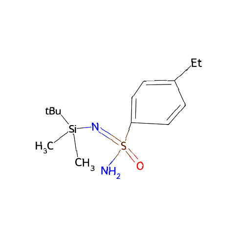 CCc1ccc(S(N)(=O)=N[Si](C)(C)C(C)(C)C)cc1